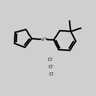 CC1(C)C=CC=[C]([V+3][C]2=CC=CC2)C1.[Cl-].[Cl-].[Cl-]